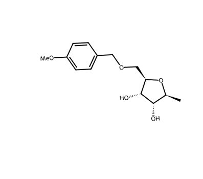 COc1ccc(COC[C@H]2O[C@@H](C)[C@H](O)[C@@H]2O)cc1